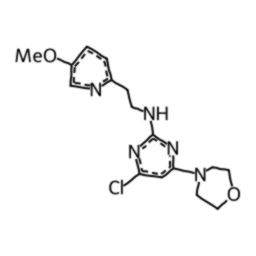 COc1ccc(CCNc2nc(Cl)cc(N3CCOCC3)n2)nc1